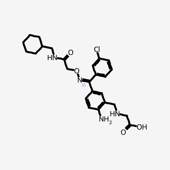 Nc1ccc(/C(=N/OCC(=O)NCC2CCCCC2)c2cccc(Cl)c2)cc1CNCC(=O)O